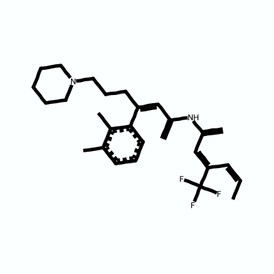 C=C(/C=C(/CCCN1CCCCC1)c1cccc(C)c1C)NC(=C)/C=C(\C=C/C)C(F)(F)F